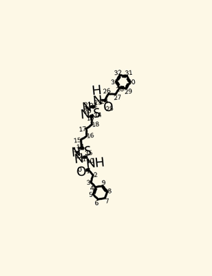 O=C(CCC1=CCCC=C1)Nc1nnc(CCCCc2nnc(NC(=O)CCc3ccccc3)s2)s1